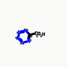 O=C(O)c1nnnnn1